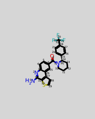 Nc1nc2ccc(C(=O)N3CCCC[C@@H]3c3ccc(C(F)(F)F)cc3)cc2c2ccsc12